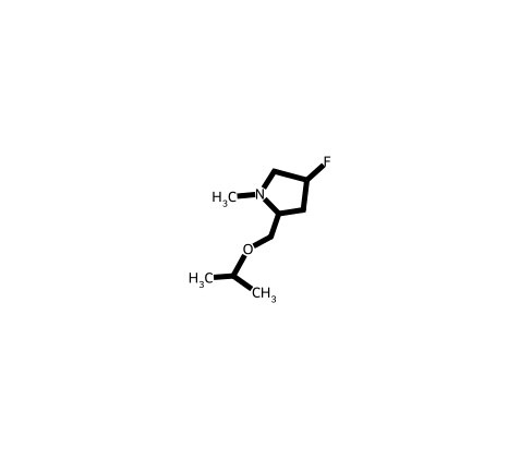 CC(C)OCC1CC(F)CN1C